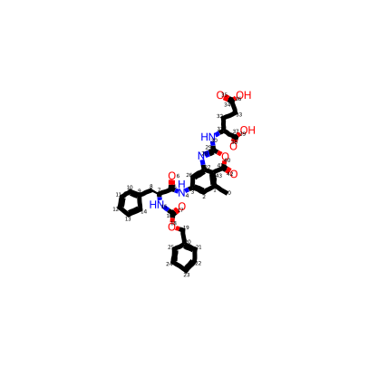 Cc1cc(NC(=O)[C@H](Cc2ccccc2)NC(=O)OCc2ccccc2)cc2nc(NC(CCC(=O)O)C(=O)O)oc(=O)c12